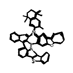 Cc1cc2c(cc1N1c3cc4c(cc3B3c5c1cc1ccccc1c5-c1cccc5c6sc7ccccc7c6n3c15)oc1ccccc14)C(C)(C)CCC2(C)C